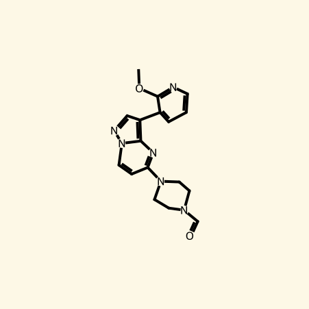 COc1ncccc1-c1cnn2ccc(N3CCN(C=O)CC3)nc12